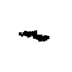 NC(=O)OC1CCC(N2CCC(NC(=O)c3cc4ccc(-c5ccc(F)cc5)cc4[nH]3)C2)CC1